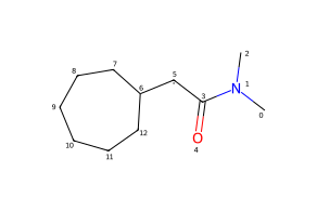 CN(C)C(=O)[CH]C1CCCCCC1